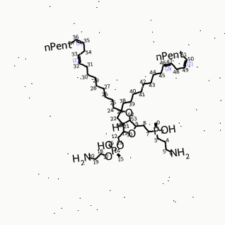 C=P(O)(CCCN)CCC1OC(COP(=C)(O)OCCN)[C@H]2CC(CCCCCCCC/C=C\C/C=C\CCCCC)(CCCCCCCC/C=C\C/C=C\CCCCC)OC12